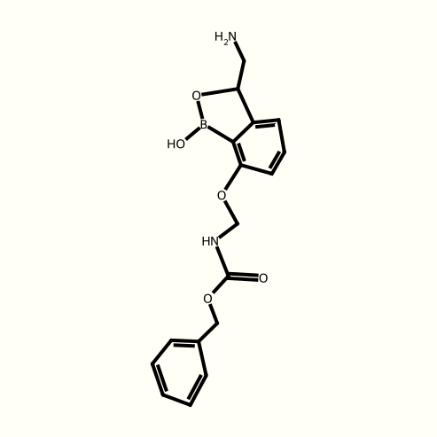 NCC1OB(O)c2c(OCNC(=O)OCc3ccccc3)cccc21